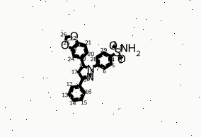 NS(=O)(=O)c1ccc(N2N=C(c3ccccc3)CC2c2ccc3c(c2)OCO3)cc1